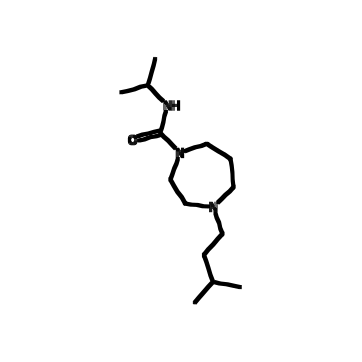 CC(C)CCN1CCCN(C(=O)NC(C)C)CC1